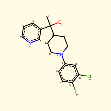 CC(O)(c1cccnc1)C1CCN(c2ccc(F)c(Cl)c2)CC1